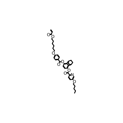 C=CC(=O)OCCCCCCOc1ccc(C(=O)Oc2ccc(OC(=O)c3ccc(OCCCCC)cn3)c3c2C2CCC3C2)cc1